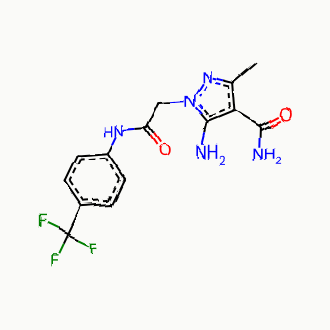 Cc1nn(CC(=O)Nc2ccc(C(F)(F)F)cc2)c(N)c1C(N)=O